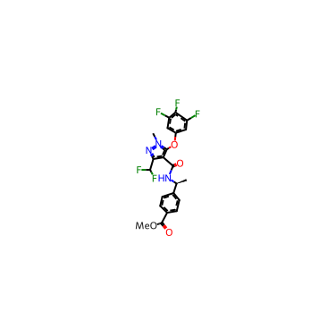 COC(=O)c1ccc([C@H](C)NC(=O)c2c(C(F)F)nn(C)c2Oc2cc(F)c(F)c(F)c2)cc1